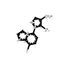 O=C(O)c1cnn(-c2ccc(F)c3nccn23)c1C(F)(F)F